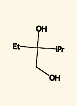 CCC(O)(CO)C(C)C